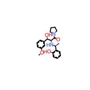 COc1cccc([C@@H](O)[C@H](N[C@@H](C)c2ccccc2O)C(=O)N2CCCC2)c1